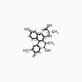 Cc1cc(-c2c([C@@H](C)CO)c(N[C@@H](C)C(=O)O)nc3cc(O)ccc23)ccc1F